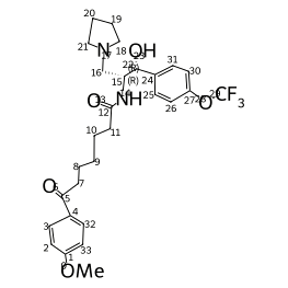 COc1ccc(C(=O)CCCCCC(=O)N[C@H](CN2CCCC2)[C@H](O)c2ccc(OC(F)(F)F)cc2)cc1